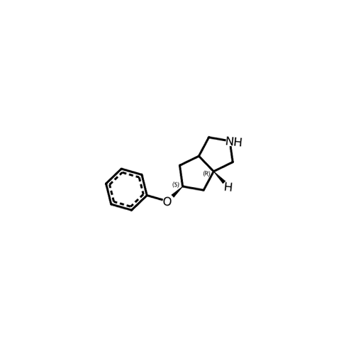 c1ccc(O[C@H]2CC3CNC[C@@H]3C2)cc1